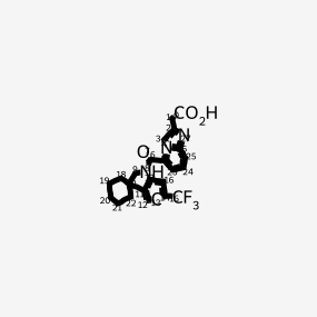 O=C(O)Cc1cn2c(C(=O)NCC3(c4ccc(C(F)(F)F)cc4)CCCCC3)cccc2n1